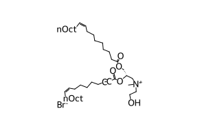 CCCCCCCC/C=C\CCCCCCCC(=O)OC[C@H](C[N+](C)(C)CCO)OC(=O)CCCCCCC/C=C\CCCCCCCC.[Br-]